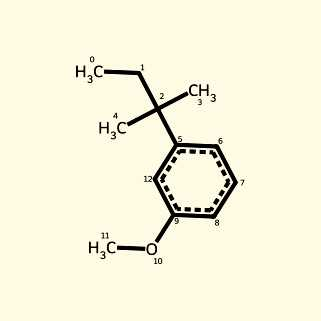 CCC(C)(C)c1cccc(OC)c1